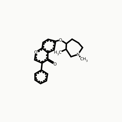 CC1CN(C)CCCC1Oc1ccc2occ(-c3ccccc3)c(=O)c2c1